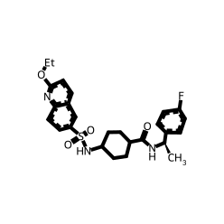 CCOc1ccc2cc(S(=O)(=O)NC3CCC(C(=O)N[C@H](C)c4ccc(F)cc4)CC3)ccc2n1